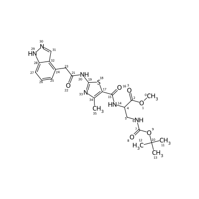 COC(=O)C(CNC(=O)OC(C)(C)C)NC(=O)c1sc(NC(=O)Cc2cccc3[nH]ncc23)nc1C